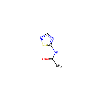 BC(=O)Nc1ncns1